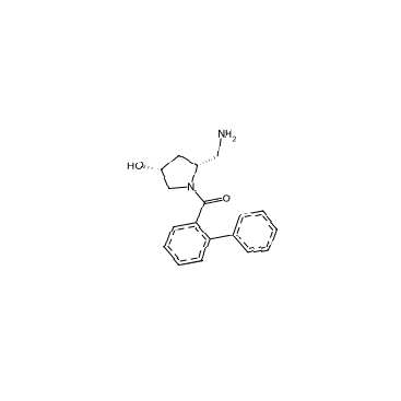 NC[C@H]1C[C@@H](O)CN1C(=O)c1ccccc1-c1ccccc1